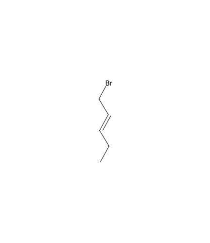 [CH2]C/C=C/CBr